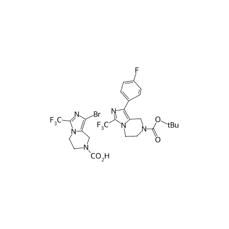 CC(C)(C)OC(=O)N1CCn2c(C(F)(F)F)nc(-c3ccc(F)cc3)c2C1.O=C(O)N1CCn2c(C(F)(F)F)nc(Br)c2C1